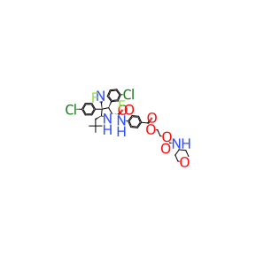 COc1cc(C(=O)OCCOC(=O)NC2CCOCC2)ccc1NC(=O)[C@@H]1N[C@@H](CC(C)(C)C)[C@](C#N)(c2ccc(Cl)cc2F)[C@H]1c1cccc(Cl)c1F